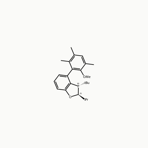 COc1c(C)cc(C)c(C)c1-c1cccc2c1[P@](C(C)(C)C)[C@@H](C(C)C)O2